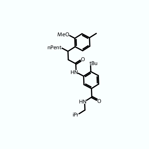 CCCCCC(CC(=O)Nc1cc(C(=O)NCC(C)C)ccc1C(C)(C)C)c1ccc(C)cc1OC